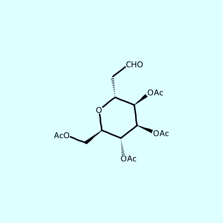 CC(=O)OC[C@H]1O[C@H](CC=O)[C@@H](OC(C)=O)[C@@H](OC(C)=O)[C@@H]1OC(C)=O